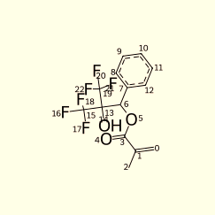 C=C(C)C(=O)OC(c1ccccc1)C(O)(C(F)(F)F)C(F)(F)F